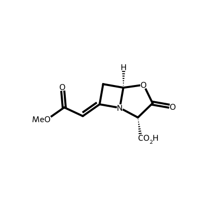 COC(=O)C=C1C[C@H]2OC(=O)[C@H](C(=O)O)N12